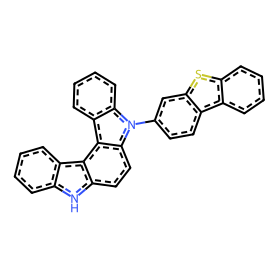 c1ccc2c(c1)[nH]c1ccc3c(c4ccccc4n3-c3ccc4c(c3)sc3ccccc34)c12